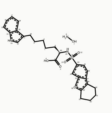 NO.O=C(O)[C@@H](CCCCCc1c[nH]c2ccccc12)NS(=O)(=O)c1ccc2c3c(oc2c1)CCCC3